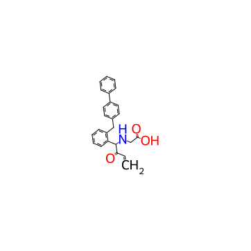 C=CC(=O)C(NCC(=O)O)c1ccccc1Cc1ccc(-c2ccccc2)cc1